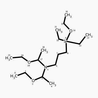 CCOC(C)N(CCC[Si](CC)(CC)OCC)C(C)OCC